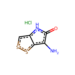 Cl.Nc1c2sscc-2[nH]c1=O